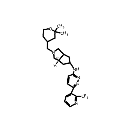 CC1(C)CC(CN2CC3CC(Nc4ccc(-c5cccnc5C(F)(F)F)nn4)C[C@@H]3C2)CCO1